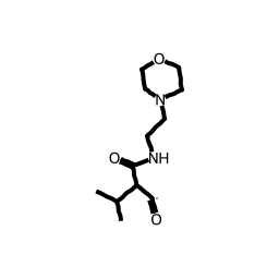 CC(C)C([C]=O)C(=O)NCCN1CCOCC1